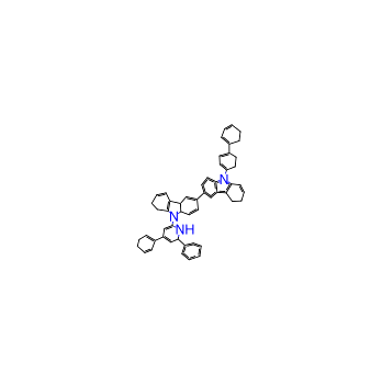 C1=CCCC(C2=CC=C(n3c4c(c5cc(C6=CC7C8=C(CCC=C8)N(C8=CC(C9=CCCC=C9)=CC(c9ccccc9)N8)C7C=C6)ccc53)CCC=C4)CC2)=C1